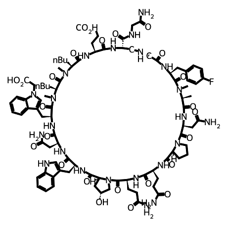 CCCC[C@H]1C(=O)N(C)[C@@H](CCCC)C(=O)N[C@@H](CCC(=O)O)C(=O)N[C@H](C(=O)NCC(N)=O)CNCC(=O)N[C@@H](Cc2ccc(F)cc2)C(=O)N(C)[C@@H](C)C(=O)N[C@@H](CC(N)=O)C(=O)N2CCC[C@H]2C(=O)N[C@@H](CCC(N)=O)C(=O)N[C@@H](CCC(N)=O)C(=O)N2C[C@H](O)C[C@H]2C(=O)N[C@@H](Cc2c[nH]c3ccccc23)C(=O)N[C@@H](CC(N)=O)C(=O)N[C@@H](Cc2cn(CC(=O)O)c3ccccc23)C(=O)N1C